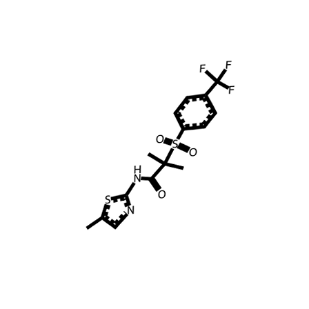 Cc1cnc(NC(=O)C(C)(C)S(=O)(=O)c2ccc(C(F)(F)F)cc2)s1